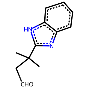 CC(C)(CC=O)c1nc2ccccc2[nH]1